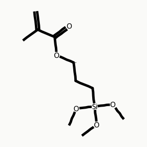 C=C(C)C(=O)O[CH]CC[Si](OC)(OC)OC